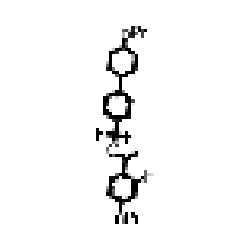 CCCc1ccc(C(C)OC(F)(F)c2ccc(C3CCC(CCC)CC3)cc2)c(F)c1